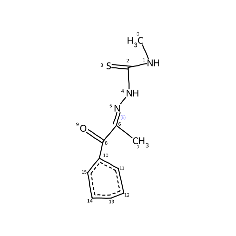 CNC(=S)N/N=C(\C)C(=O)c1ccccc1